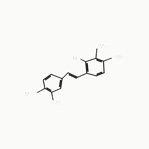 COc1ccc(C=Cc2ccc(OC)c(OC)c2C#N)cc1OC